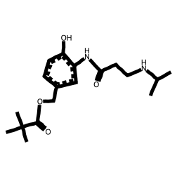 CC(C)NCCC(=O)Nc1cc(COC(=O)C(C)(C)C)ccc1O